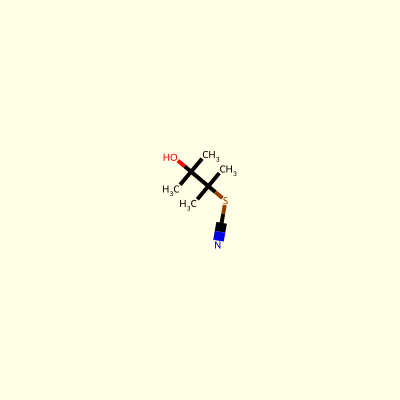 CC(C)(O)C(C)(C)SC#N